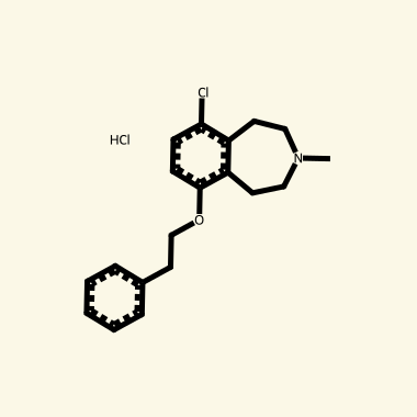 CN1CCc2c(Cl)ccc(OCCc3ccccc3)c2CC1.Cl